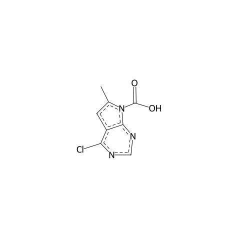 Cc1cc2c(Cl)ncnc2n1C(=O)O